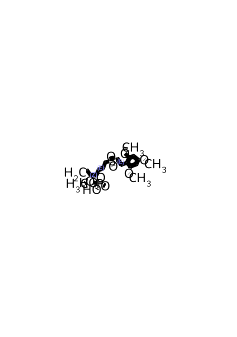 C=C/C(OC)=C(\C=C\CS(=O)(=O)/C=C/c1c(OC)cc(OC)cc1OC)OP(=O)(O)O